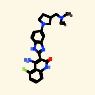 CN(C)CC1CCN(c2ccc3[nH]c(-c4c(N)c5c(F)cccc5[nH]c4=O)nc3c2)C1